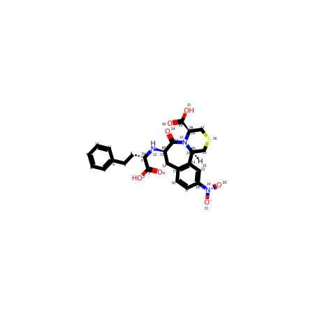 O=C(O)[C@H](CCc1ccccc1)N[C@@H]1Cc2ccc([N+](=O)[O-])cc2[C@@H]2CSC[C@H](C(=O)O)N2C1=O